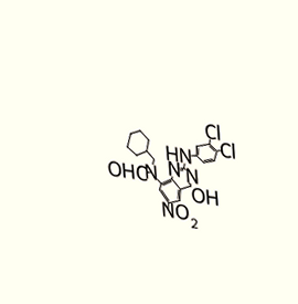 O=CN(CC1CCCCC1)c1cc([N+](=O)[O-])cc2c(O)nc(Nc3ccc(Cl)c(Cl)c3)nc12